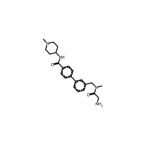 CN1CCC(NC(=O)c2ccc(-c3cccc(CN(C)C(=O)CN)c3)cc2)CC1